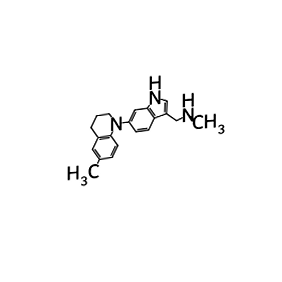 CNCc1c[nH]c2cc(N3CCCc4cc(C)ccc43)ccc12